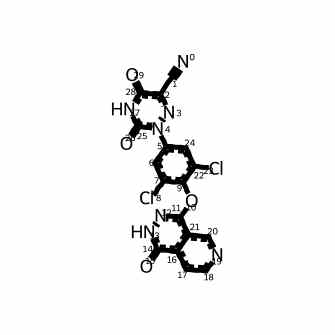 N#Cc1nn(-c2cc(Cl)c(Oc3n[nH]c(=O)c4ccncc34)c(Cl)c2)c(=O)[nH]c1=O